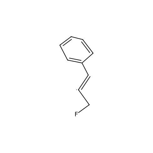 FC[C]=Cc1ccccc1